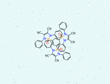 N#CC1=C(C#N)N(c2ccccc2)P(=O)(c2cc(P3(=O)N(c4ccccc4)C(C#N)=C(C#N)N3c3ccccc3)cc(P3(=O)N(c4ccccc4)C(C#N)=C(C#N)N3c3ccccc3)c2)N1c1ccccc1